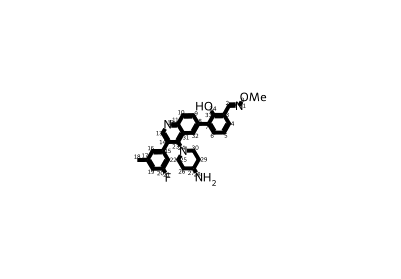 CON=Cc1cccc(-c2ccc3ncc(-c4cc(C)cc(F)c4)c(N4CCC(N)CC4)c3c2)c1O